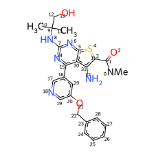 CNC(=O)c1sc2nc(NC(C)(C)CO)nc(-c3cncc(OCc4ccccc4)c3)c2c1N